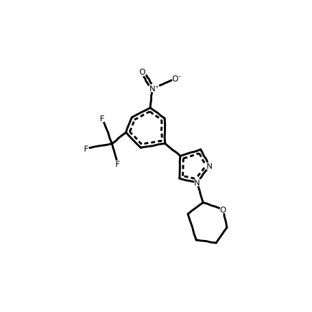 O=[N+]([O-])c1cc(-c2cnn(C3CCCCO3)c2)cc(C(F)(F)F)c1